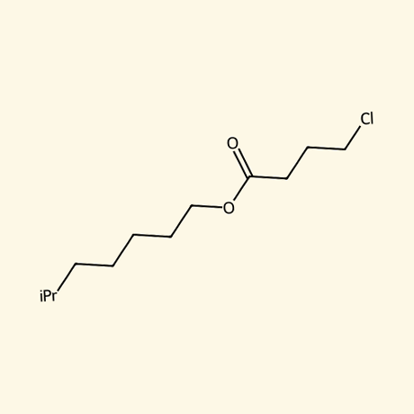 CC(C)CCCCCOC(=O)CCCCl